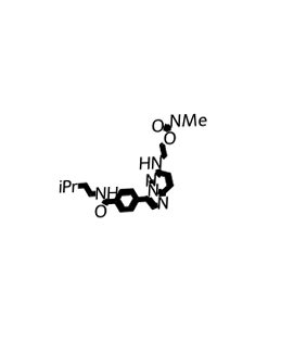 CNC(=O)OCCNc1ccc2ncc(-c3ccc(C(=O)NCCC(C)C)cc3)n2n1